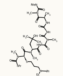 CCCC(=O)N(C)[C@H](SCCCN(CC)C(C)C)C(=O)N(C)[C@@H](CC(C)(C)O)C(=O)NC(=O)N(C)C(=O)NC(=O)N[C@H](C)C(=O)N(C)C(=O)NC